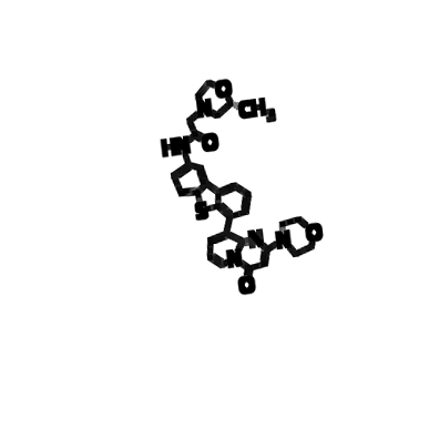 C[C@@H]1CN(CC(=O)Nc2ccc3sc4c(-c5cccn6c(=O)cc(N7CCOCC7)nc56)cccc4c3c2)CCO1